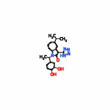 CC(C)c1cccc2n(C(C)c3ccc(O)c(O)c3)c(=O)c(-c3nnn[nH]3)c-2c1